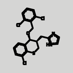 Clc1cccc(Cl)c1CO[C@@H]1c2cccc(Cl)c2SC[C@@H]1Cc1ncc[nH]1